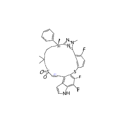 Cn1nc2nc1-c1cc(ccc1F)Sc1c(F)c(F)c3[nH]ccc3c1/C=C/S(=O)(=O)CC(C)(C)CCC[C@]2(C)c1ccccc1